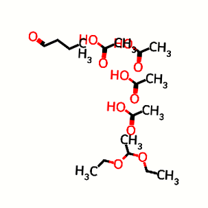 CC(=O)O.CC(=O)O.CC(=O)O.CC(=O)O.CCCC=O.CCOC(C)OCC